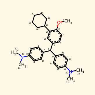 COc1ccc(C(c2ccc(N(C)C)cc2)c2ccc(N(C)C)cc2)cc1C1CCCCC1